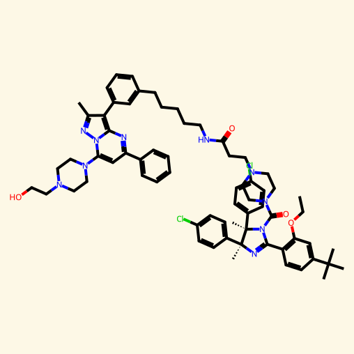 CCOc1cc(C(C)(C)C)ccc1C1=N[C@@](C)(c2ccc(Cl)cc2)[C@@](C)(c2ccc(Cl)cc2)N1C(=O)N1CCN(CCC(=O)NCCCCCc2cccc(-c3c(C)nn4c(N5CCN(CCO)CC5)cc(-c5ccccc5)nc34)c2)CC1